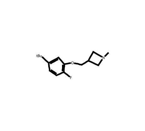 CN1CC(COc2cc(C(C)(C)C)ccc2F)C1